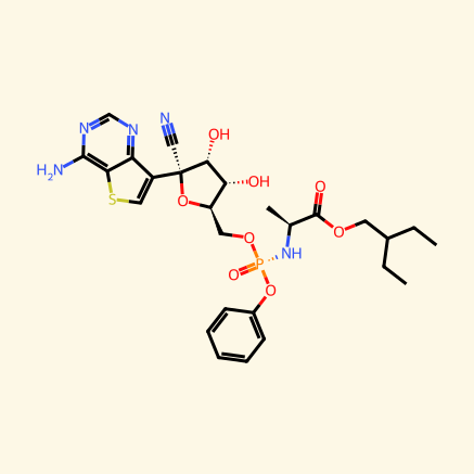 CCC(CC)COC(=O)[C@H](C)N[P@](=O)(OC[C@H]1O[C@@](C#N)(c2csc3c(N)ncnc23)[C@H](O)[C@@H]1O)Oc1ccccc1